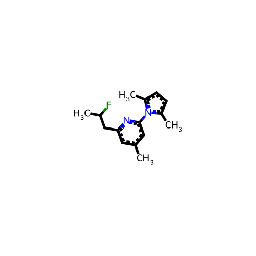 Cc1cc(CC(C)F)nc(-n2c(C)ccc2C)c1